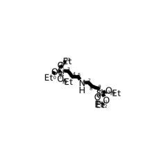 CCO[Si](CCCNCCC[Si](OCC)(OCC)OCC)(OCC)OCC